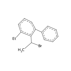 CCc1cccc(-c2ccccc2)c1C(C)Br